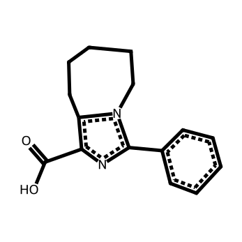 O=C(O)c1nc(-c2ccccc2)n2c1CCCCC2